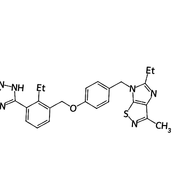 CCc1c(COc2ccc(Cn3c(CC)nc4c(C)nsc43)cc2)cccc1-c1nnn[nH]1